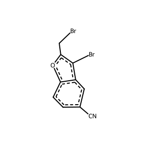 N#Cc1ccc2oc(CBr)c(Br)c2c1